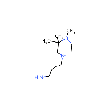 CN1CCN(CCCN)CC1(C)C